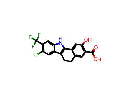 O=C(O)c1cc2c(cc1O)-c1[nH]c3cc(C(F)(F)F)c(Cl)cc3c1CC2